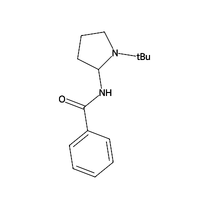 CC(C)(C)N1CCCC1NC(=O)c1ccccc1